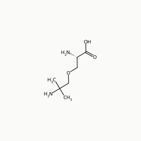 CC(C)(N)COC[C@H](N)C(=O)O